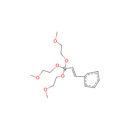 COCCO[Si](C=Cc1ccccc1)(OCCOC)OCCOC